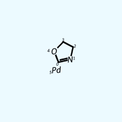 C1=NCCO1.[Pd]